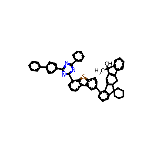 CC1(C)C2=C(CC3C(=C2)c2c(-c4ccc5sc6c(-c7nc(-c8ccccc8)nc(-c8ccc(-c9ccccc9)cc8)n7)cccc6c5c4)cccc2C32CCCCC2)c2ccccc21